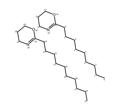 CCCCCCCCCC1=NCCCO1.CCCCCCCCCCC1=NCCCO1